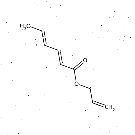 C=CCOC(=O)C=CC=CC